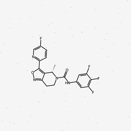 C[C@H]1c2c(noc2-c2ccc(F)cn2)CCN1C(=O)Nc1cc(F)c(F)c(F)c1